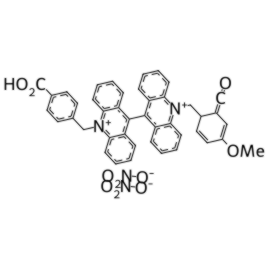 COC1=CC(=C=O)C(C[n+]2c3ccccc3c(-c3c4ccccc4[n+](Cc4ccc(C(=O)O)cc4)c4ccccc34)c3ccccc32)C=C1.O=[N+]([O-])[O-].O=[N+]([O-])[O-]